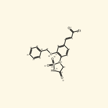 CCC(=O)C=Cc1ccc(N2CC(=O)NS2(=O)=O)c(OCc2ccccc2)c1